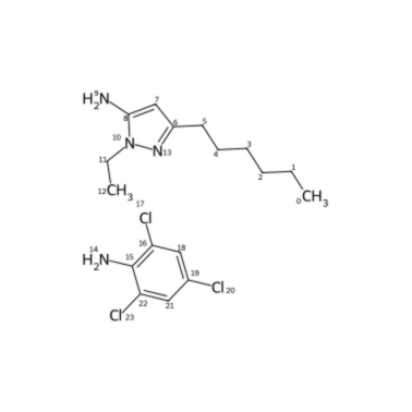 CCCCCCc1cc(N)n(CC)n1.Nc1c(Cl)cc(Cl)cc1Cl